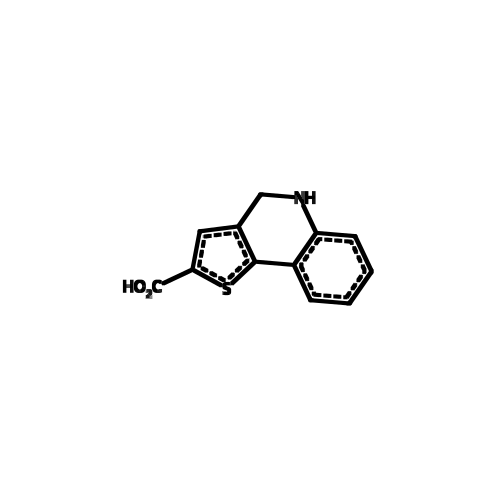 O=C(O)c1cc2c(s1)-c1ccccc1NC2